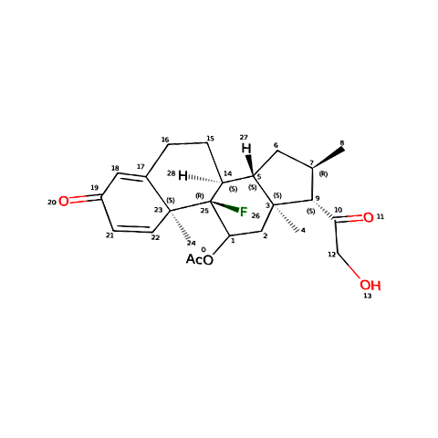 CC(=O)OC1C[C@@]2(C)[C@@H](C[C@@H](C)[C@@H]2C(=O)CO)[C@@H]2CCC3=CC(=O)C=C[C@]3(C)[C@@]12F